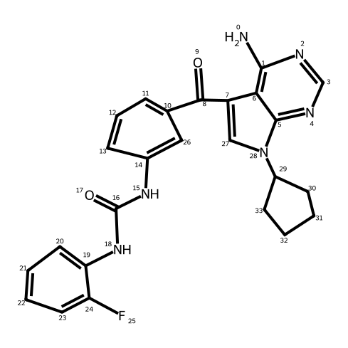 Nc1ncnc2c1c(C(=O)c1cccc(NC(=O)Nc3ccccc3F)c1)cn2C1CCCC1